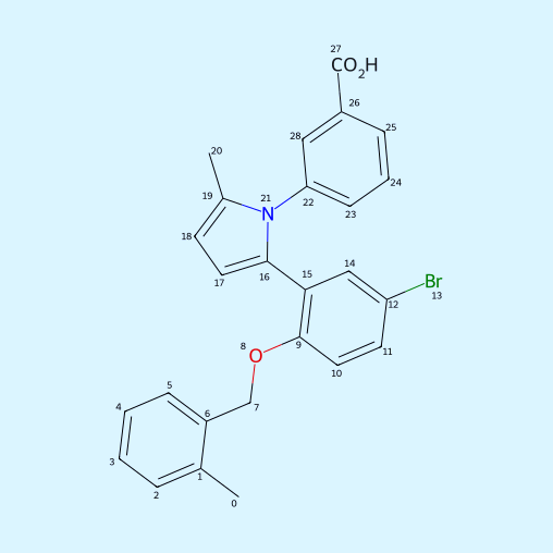 Cc1ccccc1COc1ccc(Br)cc1-c1ccc(C)n1-c1cccc(C(=O)O)c1